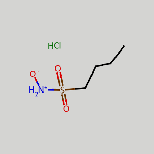 CCCCS(=O)(=O)[NH2+][O-].Cl